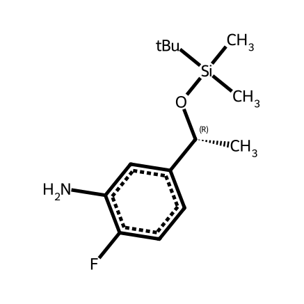 C[C@@H](O[Si](C)(C)C(C)(C)C)c1ccc(F)c(N)c1